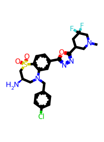 CN1CC(c2nnc(-c3ccc4c(c3)N(Cc3ccc(Cl)cc3)C[C@@H](N)CS4(=O)=O)o2)CC(F)(F)C1